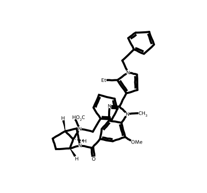 CCc1c(-c2nc3cc(C(=O)N4C[C@H]5CC[C@@H]4[C@@H]5N(Cc4ccccc4)C(=O)O)cc(OC)c3n2C)ccn1Cc1ccccc1